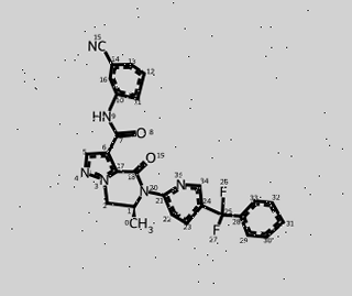 C[C@H]1Cn2ncc(C(=O)Nc3cccc(C#N)c3)c2C(=O)N1c1ccc(C(F)(F)c2ccccc2)cn1